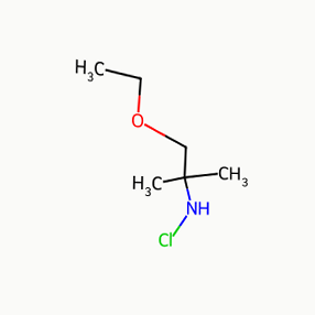 CCOCC(C)(C)NCl